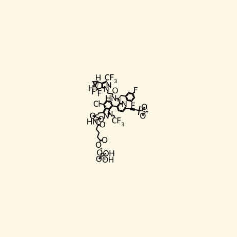 CC(C)(C#Cc1ccc(-c2ccc(Cl)c3c(CS(=O)(=O)NC(=O)CCCC(=O)OCOP(=O)(O)O)nn(CC(F)(F)F)c23)c([C@H](Cc2cc(F)cc(F)c2)NC(=O)Cn2nc(C(F)(F)F)c3c2C(F)(F)[C@@H]2C[C@H]32)n1)S(C)(=O)=O